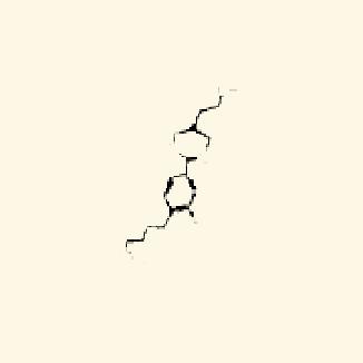 CCCCCc1ccc(C2SCC(CCC)CS2)cc1F